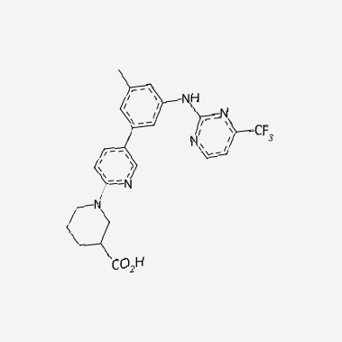 Cc1cc(Nc2nccc(C(F)(F)F)n2)cc(-c2ccc(N3CCCC(C(=O)O)C3)nc2)c1